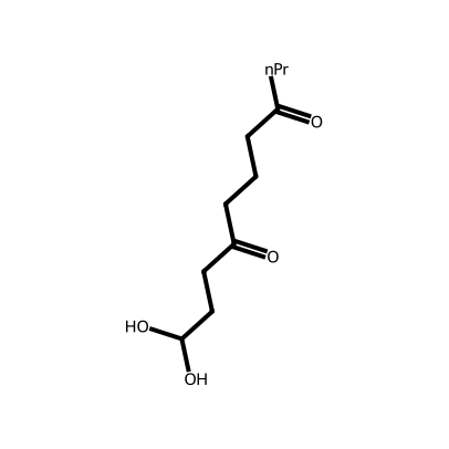 CCCC(=O)CCCC(=O)CCC(O)O